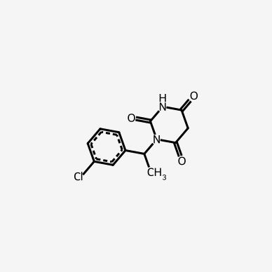 CC(c1cccc(Cl)c1)N1C(=O)CC(=O)NC1=O